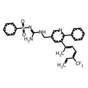 C=C/C(=C\C=C(/C)c1cc(CN/C(N)=N/S(=O)(=O)c2ccccc2)cnc1-c1ccccc1)C(F)(F)F